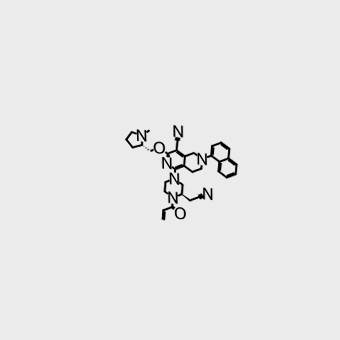 C=CC(=O)N1CCN(c2nc(OC[C@@H]3CCCN3C)c(C#N)c3c2CCN(c2cccc4ccccc24)C3)C[C@H]1CC#N